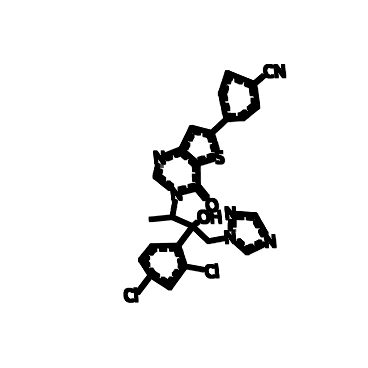 CC(n1cnc2cc(-c3ccc(C#N)cc3)sc2c1=O)C(O)(Cn1cncn1)c1ccc(Cl)cc1Cl